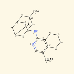 CCOC(=O)c1cnc(NC23CC4CC(C2)CC(OC(C)=O)(C4)C3)c2c1CCCC2